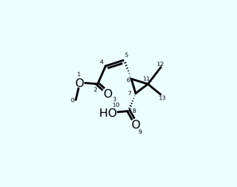 COC(=O)/C=C\[C@H]1[C@@H](C(=O)O)C1(C)C